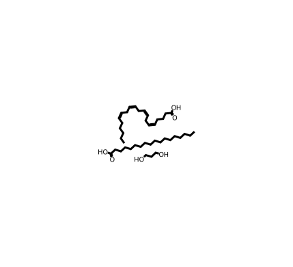 CCCCC/C=C\C/C=C\C/C=C\C/C=C\CCCC(=O)O.CCCCCCCCCCCCCCCCCC(=O)O.OCCCO